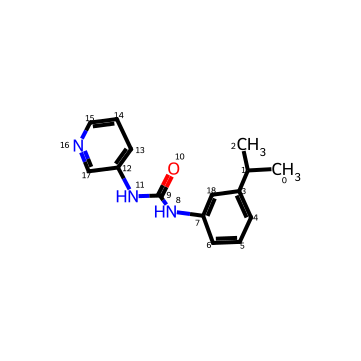 CC(C)c1cccc(NC(=O)Nc2cccnc2)c1